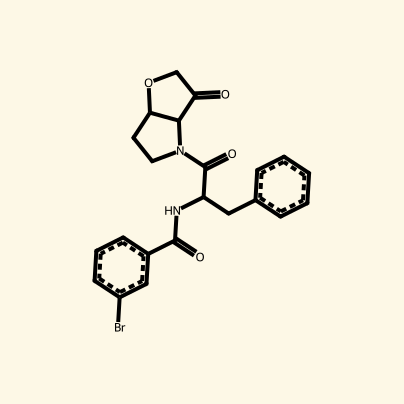 O=C(NC(Cc1ccccc1)C(=O)N1CCC2OCC(=O)C21)c1cccc(Br)c1